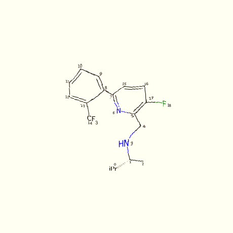 CC(C)[C@@H](C)NCc1nc(-c2ccccc2C(F)(F)F)ccc1F